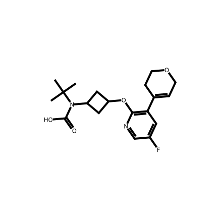 CC(C)(C)N(C(=O)O)C1CC(Oc2ncc(F)cc2C2=CCOCC2)C1